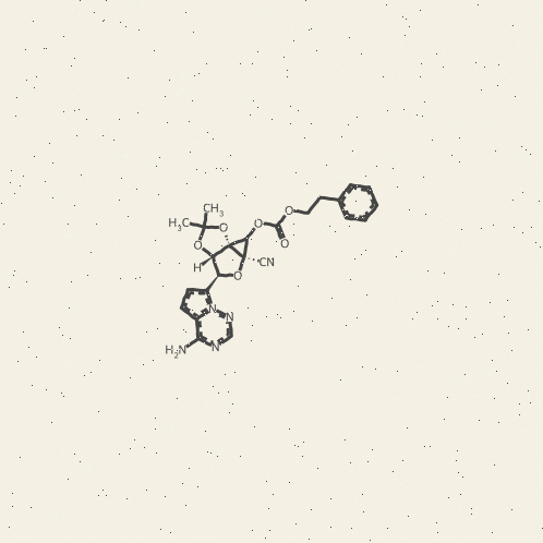 CC1(C)O[C@H]2[C@H](c3ccc4c(N)ncnn34)O[C@]3(C#N)C(OC(=O)OCCc4ccccc4)[C@]23O1